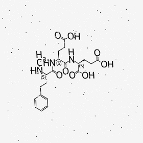 CN[C@@H](CCc1ccccc1)C(=O)N[C@@H](CCC(=O)O)C(=O)N[C@@H](CCC(=O)O)C(=O)O